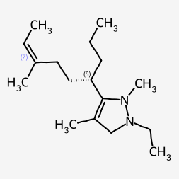 C/C=C(/C)CC[C@H](CCC)C1=C(C)CN(CC)N1C